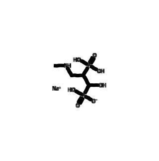 CNCC(C(O)P(=O)([O-])O)P(=O)(O)O.[Na+]